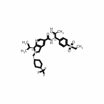 CCS(=O)(=O)c1ccc([C@H](NC(=O)c2cnc3c(c2)CN(C[C@H]2CC[C@H](C(F)(F)F)CC2)[C@H]3C(C)C)[C@H](C)O)cc1